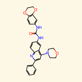 O=C(Nc1ccc2c(c1)OCCO2)Nc1ccc2nc(-c3ccccc3)cc(N3CCOCC3)c2c1